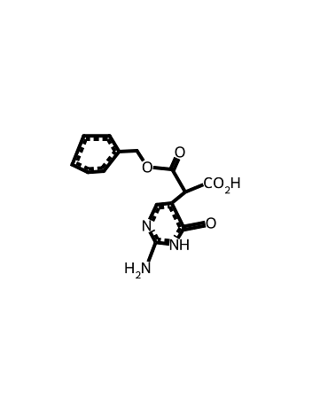 Nc1ncc(C(C(=O)O)C(=O)OCc2ccccc2)c(=O)[nH]1